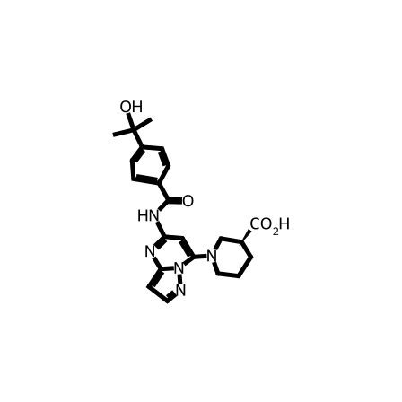 CC(C)(O)c1ccc(C(=O)Nc2cc(N3CCC[C@H](C(=O)O)C3)n3nccc3n2)cc1